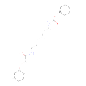 O=C(COc1ccccc1)NCCCCCCNC(=O)Oc1ccccc1